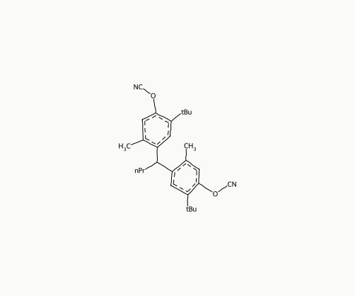 CCCC(c1cc(C(C)(C)C)c(OC#N)cc1C)c1cc(C(C)(C)C)c(OC#N)cc1C